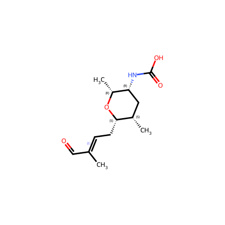 C/C(C=O)=C\C[C@@H]1O[C@H](C)[C@H](NC(=O)O)C[C@@H]1C